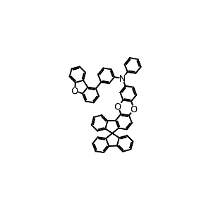 c1ccc(N(c2cccc(-c3cccc4oc5ccccc5c34)c2)c2ccc3c(c2)Oc2c(ccc4c2-c2ccccc2C42c4ccccc4-c4ccccc42)O3)cc1